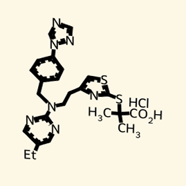 CCc1cnc(N(CCc2csc(SC(C)(C)C(=O)O)n2)Cc2ccc(-n3cncn3)cc2)nc1.Cl